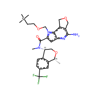 C[C@H]1OC[C@@H](N(C)C(=O)c2cc3nc(N)c4c(c3n2COCC[Si](C)(C)C)COC4)c2ccc(C(F)(F)F)cc21